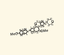 COc1nn2cc(-c3cc4c5c(c(OC)cc4o3)-c3sc(C4CCOCC4)nc3CO5)nc2s1